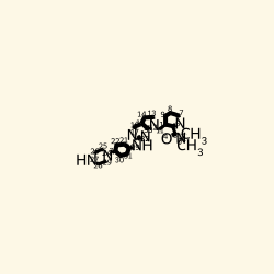 CN(C)C(=O)c1ncccc1Cn1ccc2cnc(Nc3ccc(N4CCNCC4)cc3)nc21